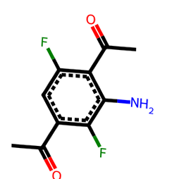 CC(=O)c1cc(F)c(C(C)=O)c(N)c1F